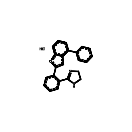 Cl.c1ccc(-c2cccc3oc(-c4ccccc4C4=NCCN4)cc23)cc1